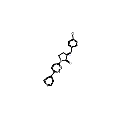 O=C1/C(=C/c2ccc(Cl)cc2)CCN1c1ccc(-c2ccncc2)nn1